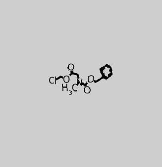 CN(CC(=O)OCCl)C(=O)OCc1ccccc1